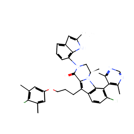 CCOC(=O)c1cc2cccc(N3C[C@@H](C)n4c(c(CCCOc5cc(C)c(Cl)c(C)c5)c5ccc(Cl)c(-c6c(C)ncnc6C)c54)C3=O)c2[nH]1